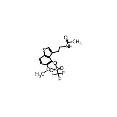 COc1ccc2scc(CCNC(C)=O)c2c1OS(=O)(=O)C(F)(F)F